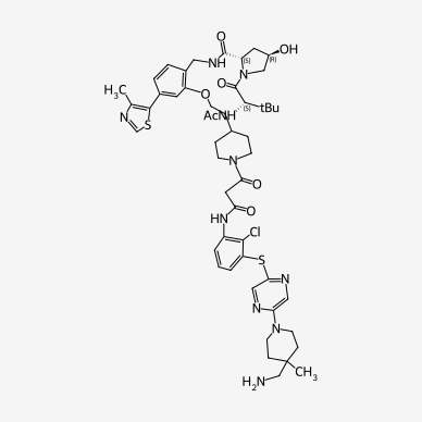 CC(=O)N[C@H](C(=O)N1C[C@H](O)C[C@H]1C(=O)NCc1ccc(-c2scnc2C)cc1OCCC1CCN(C(=O)CC(=O)Nc2cccc(Sc3cnc(N4CCC(C)(CN)CC4)cn3)c2Cl)CC1)C(C)(C)C